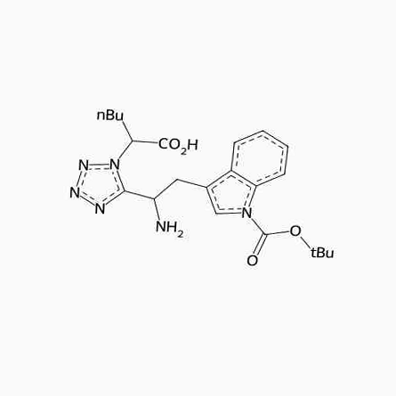 CCCCC(C(=O)O)n1nnnc1C(N)Cc1cn(C(=O)OC(C)(C)C)c2ccccc12